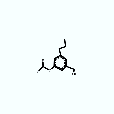 CCCc1cc(CO)cc(OC(F)F)c1